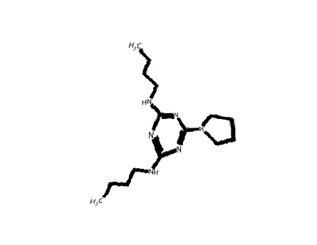 CCCCNc1nc(NCCCC)nc(N2CCCC2)n1